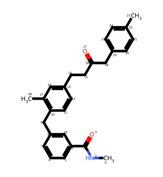 CNC(=O)c1cccc(Cc2ccc(CCC(=O)Cc3ccc(C)cc3)cc2C)c1